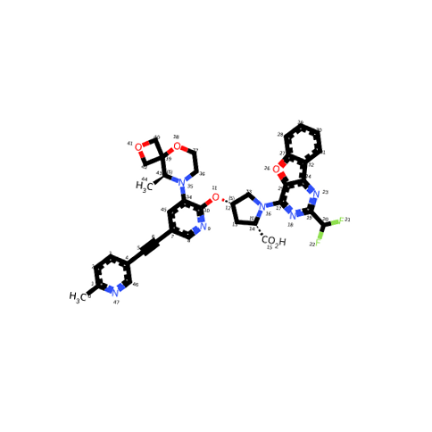 Cc1ccc(C#Cc2cnc(O[C@H]3C[C@@H](C(=O)O)N(c4nc(C(F)F)nc5c4oc4ccccc45)C3)c(N3CCOC4(COC4)[C@@H]3C)c2)cn1